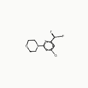 FC(F)c1cc(Cl)cc(N2CCOCC2)n1